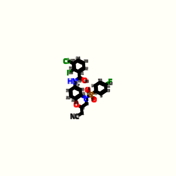 N#CCC1CN(S(=O)(=O)c2ccc(F)cc2)c2cc(NC(=O)c3cccc(Cl)c3F)ccc2O1